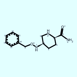 NC(=O)[C@H]1CC[C@@H](NOCc2ccccc2)CN1